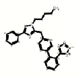 CCCCCn1nc(-c2ccccc2)nc1Cc1ccc(-c2ccccc2-c2nnn[nH]2)cn1